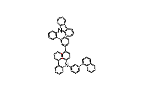 c1ccc(-c2ccccc2N(c2ccc(-c3cccc(-c4ccccc4-n4c5ccccc5c5ccccc54)c3)cc2)c2cccc(-c3cccc4ccccc34)c2)cc1